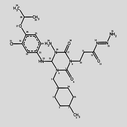 CC1CCC(CN2C(=O)N(CCC(=O)N=NN)C(=O)N(N)C2Nc2ccc(OC(C)C)c(Cl)c2)CC1